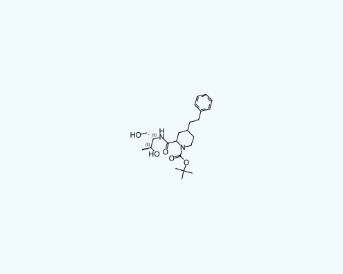 C[C@H](O)[C@H](CO)NC(=O)C1CC(CCc2ccccc2)CCN1C(=O)OC(C)(C)C